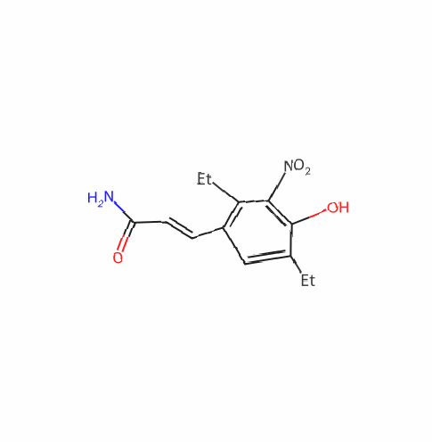 CCc1cc(C=CC(N)=O)c(CC)c([N+](=O)[O-])c1O